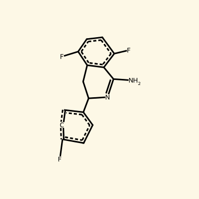 NC1=NC(c2ccc(F)cc2)Cc2c(F)ccc(F)c21